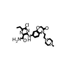 CCc1nc(C(N)=O)c(Nc2ccc3c(c2)OCC(=O)N3CCN2CCN(C)CC2)nc1Cl